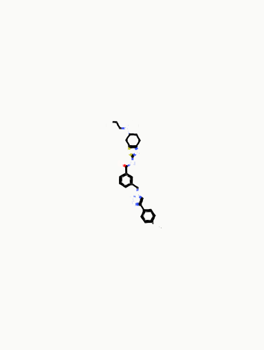 CN(CCC(F)(F)F)[C@H]1CCc2nc(NC(=O)c3cccc(Cn4cc(-c5ccc(C#N)cc5)nn4)c3)sc2C1